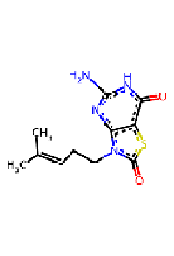 CC(C)=CCCn1c(=O)sc2c(=O)[nH]c(N)nc21